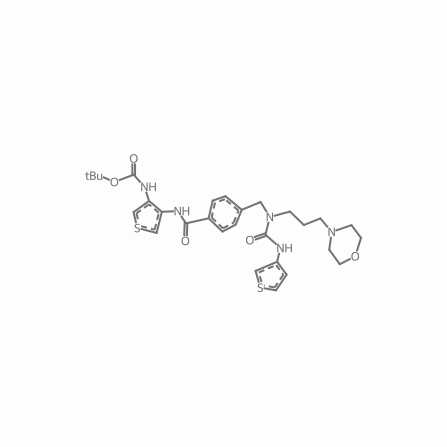 CC(C)(C)OC(=O)Nc1cscc1NC(=O)c1ccc(CN(CCCN2CCOCC2)C(=O)Nc2ccsc2)cc1